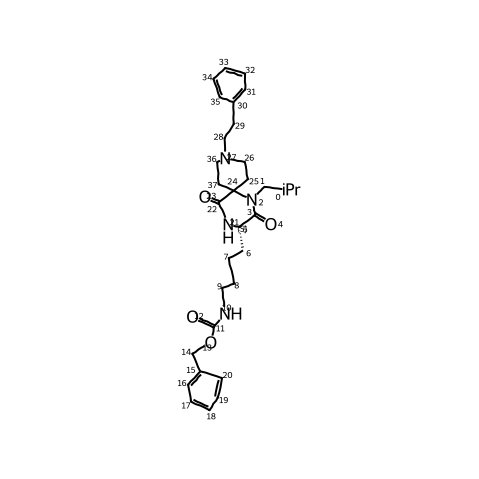 CC(C)CN1C(=O)[C@H](CCCCNC(=O)OCc2ccccc2)NC(=O)C12CCN(CCc1ccccc1)CC2